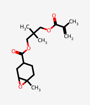 C=C(C)C(=O)OCC(C)(C)COC(=O)C1CCC2(C)OC2C1